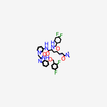 CN(C)C(=O)/C=C/CCC(NC(=O)C1CCC(F)(F)CC1)C(=O)Nc1cccn(Cc2nc3cccc(OCc4ccc(F)cc4F)c3[nH]2)c1=O